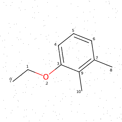 [CH2]COc1cccc(C)c1C